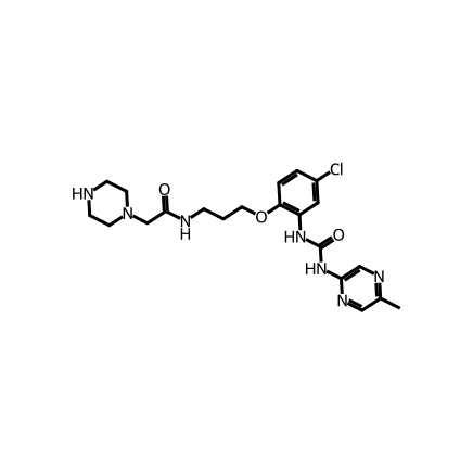 Cc1cnc(NC(=O)Nc2cc(Cl)ccc2OCCCNC(=O)CN2CCNCC2)cn1